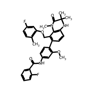 COc1cc(NC(=O)c2ccccc2F)ccc1-c1ccc2c(c1COc1cc(F)ccc1C)N(C)C(=O)C(C)(C)N2